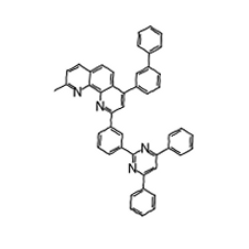 Cc1ccc2ccc3c(-c4cccc(-c5ccccc5)c4)cc(-c4cccc(-c5nc(-c6ccccc6)cc(-c6ccccc6)n5)c4)nc3c2n1